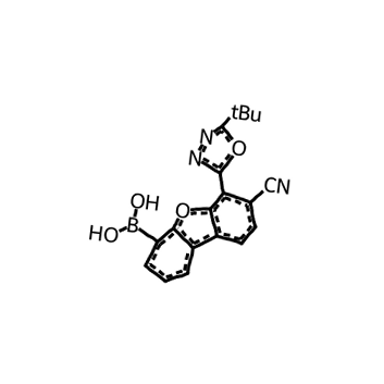 CC(C)(C)c1nnc(-c2c(C#N)ccc3c2oc2c(B(O)O)cccc23)o1